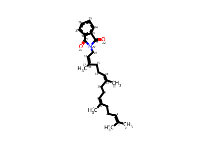 CC(C)=CCCC(C)=CCCC(C)=CCCC(C)=CCN1C(=O)c2ccccc2C1=O